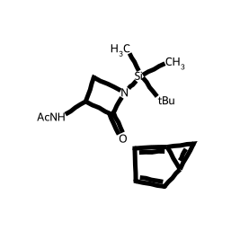 CC(=O)NC1CN([Si](C)(C)C(C)(C)C)C1=O.c1cc2cc-2c1